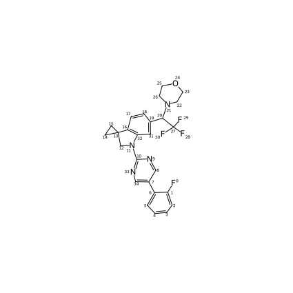 Fc1ccccc1-c1cnc(N2CC3(CC3)c3ccc(C(N4CCOCC4)C(F)(F)F)cc32)nc1